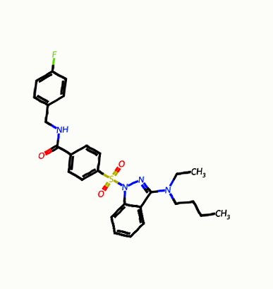 CCCCN(CC)c1nn(S(=O)(=O)c2ccc(C(=O)NCc3ccc(F)cc3)cc2)c2ccccc12